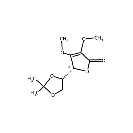 COC1=C(OC)[C@@H](C2COC(C)(C)O2)OC1=O